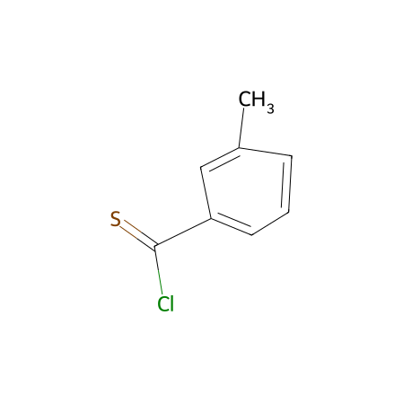 Cc1cccc(C(=S)Cl)c1